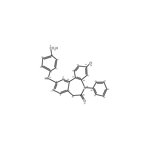 O=C(O)c1ccc(Nc2ncc3c(n2)-c2ccc(Cl)cc2N(c2ccccc2)C(=O)C3)cc1